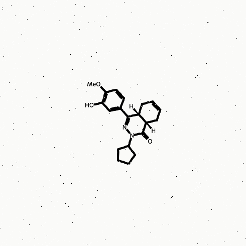 COc1ccc(C2=NN(C3CCCC3)C(=O)[C@H]3CC=CC[C@@H]23)cc1O